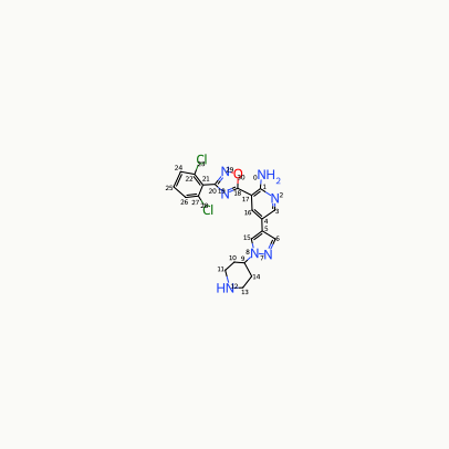 Nc1ncc(-c2cnn(C3CCNCC3)c2)cc1-c1nc(-c2c(Cl)cccc2Cl)no1